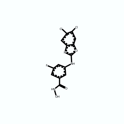 O=C(NO)c1cc(F)cc(Nc2nc3cc(Cl)c(Cl)cc3o2)c1